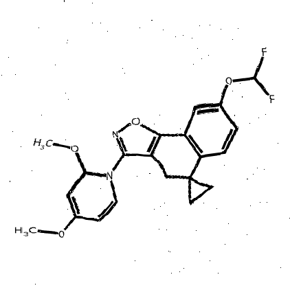 COC1=CC(OC)N(c2noc3c2CC2(CC2)c2ccc(OC(F)F)cc2-3)C=C1